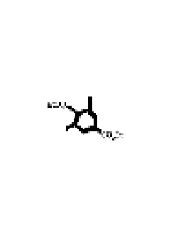 CCOC(=O)c1cc(C)c(C(=O)OCC)c(C)c1